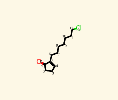 O=C1CCC=C1CCCCCCCCl